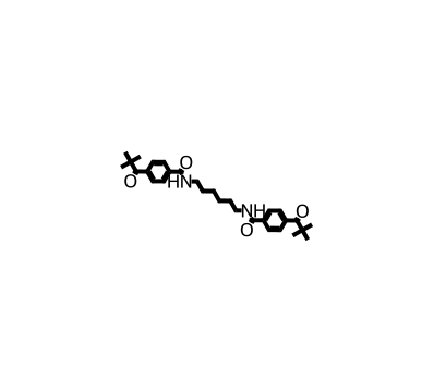 CC(C)(C)C(=O)c1ccc(C(=O)NCCCCCCNC(=O)c2ccc(C(=O)C(C)(C)C)cc2)cc1